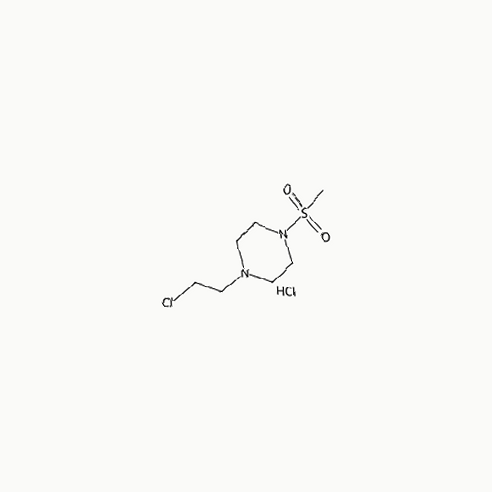 CS(=O)(=O)N1CCN(CCCl)CC1.Cl